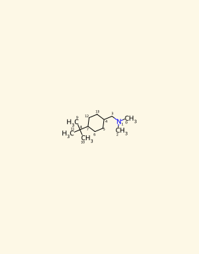 CN(C)CC1CCC(C(C)(C)C)CC1